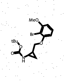 COc1cccc(OCC2CC2NC(=O)OC(C)(C)C)c1Br